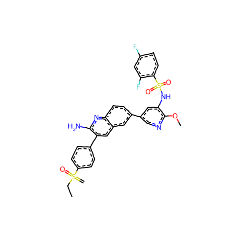 C=S(=O)(CC)c1ccc(-c2cc3cc(-c4cnc(OC)c(NS(=O)(=O)c5ccc(F)cc5F)c4)ccc3nc2N)cc1